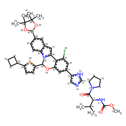 COC(=O)N[C@H](C(=O)N1CCC[C@H]1c1ncc(-c2cc(F)c3c(c2)OC(c2ccc(C4CCC4)s2)n2c-3cc3cc(B4OC(C)(C)C(C)(C)O4)ccc32)[nH]1)C(C)C